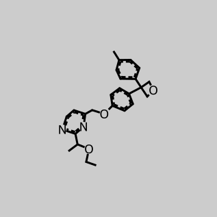 CCOC(C)c1nccc(COc2ccc(C3(c4ccc(C)cc4)COC3)cc2)n1